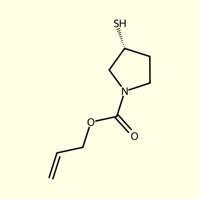 C=CCOC(=O)N1CC[C@@H](S)C1